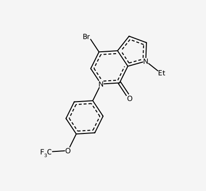 CCn1ccc2c(Br)cn(-c3ccc(OC(F)(F)F)cc3)c(=O)c21